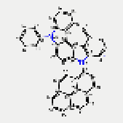 C=Cc1c(/C=C\C)n(-c2ccc3ccc4cccc5ccc2c3c45)c2ccc3c(c4ccccc4n3-c3ccccc3)c12